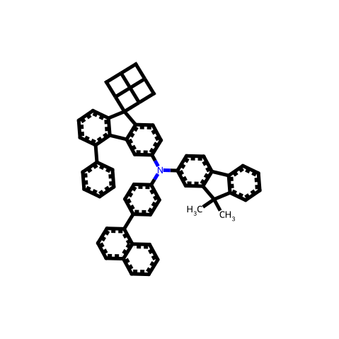 CC1(C)c2ccccc2-c2ccc(N(c3ccc(-c4cccc5ccccc45)cc3)c3ccc4c(c3)-c3c(-c5ccccc5)cccc3C43C4CC5CC6CC3C564)cc21